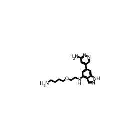 NCCCCOCCNc1cc(-c2cnnc(N)c2)cc2[nH]ncc12